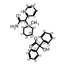 C[N+]1(C(C(N)=O)c2ccncn2)CCC[C@@H](OC(=O)C(O)(c2ccccc2)c2ccccc2)C1